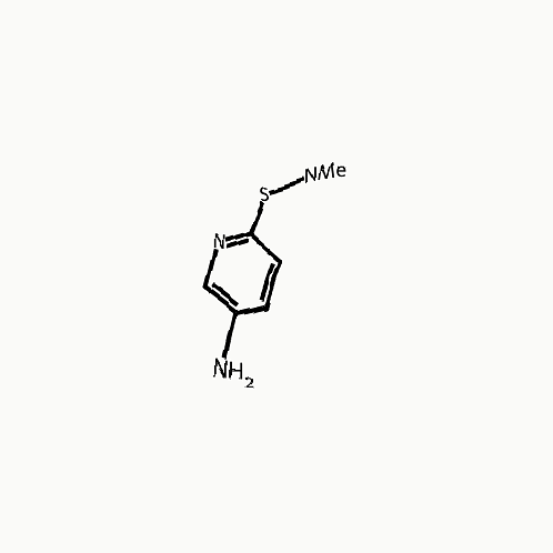 CNSc1ccc(N)cn1